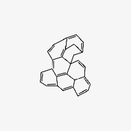 C1=CC2=Cc3cccc4c3=C3C2C(=C1)C=CC31CC2=CC=c3ccc=4c1c3C2